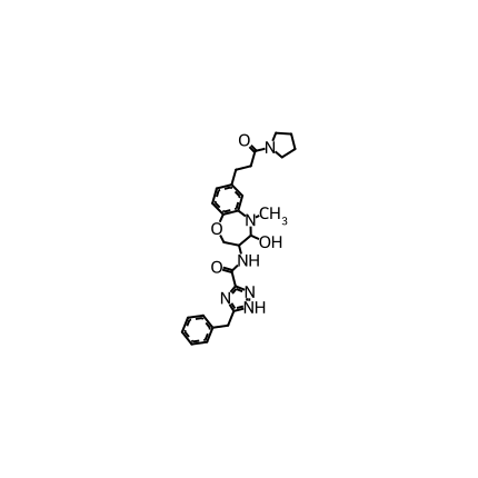 CN1c2cc(CCC(=O)N3CCCC3)ccc2OCC(NC(=O)c2n[nH]c(Cc3ccccc3)n2)C1O